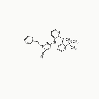 CC(C)(C)c1ccccc1Oc1ncccc1Nc1cc(C#N)n(CCc2ccccc2)n1